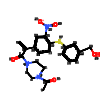 C=C(C(=O)N1CCN(C(C)=O)CC1)c1ccc(Sc2cccc(CO)c2)c([N+](=O)[O-])c1